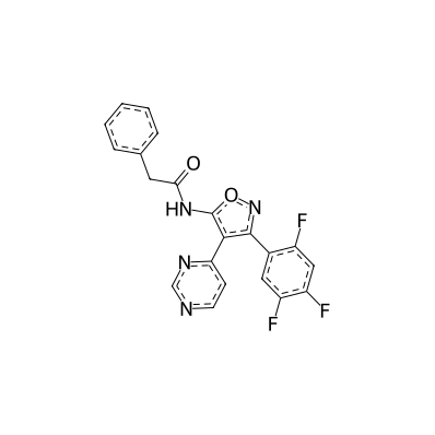 O=C(Cc1ccccc1)Nc1onc(-c2cc(F)c(F)cc2F)c1-c1ccncn1